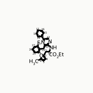 CCOC(=O)C(Cc1ccc(C)o1)Nc1ncc(-c2ccccc2)nc1Cc1ccccc1F